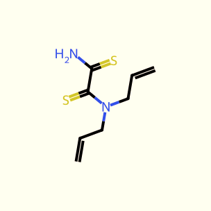 C=CCN(CC=C)C(=S)C(N)=S